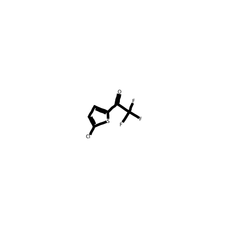 O=C(c1ccc(Cl)s1)C(F)(F)F